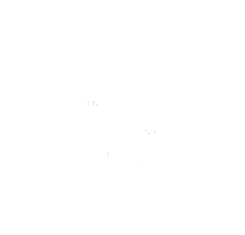 C=CCNC=O.O=CNc1ccccc1